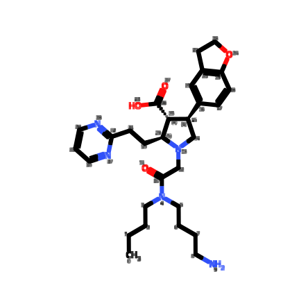 CCCCN(CCCCN)C(=O)CN1C[C@H](c2ccc3c(c2)CCO3)[C@@H](C(=O)O)[C@@H]1CCc1ncccn1